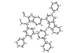 C=Cc1oc2cc(-c3nc(-c4ccccc4)nc4c3sc3ccccc34)ccc2c1/C(=C\C)c1nc(-c2ccccc2)nc(-c2cccc(-c3ccccc3)c2)n1